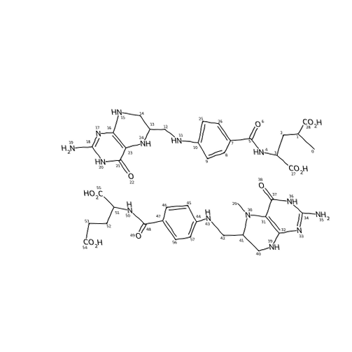 CC(CC(NC(=O)c1ccc(NCC2CNc3nc(N)[nH]c(=O)c3N2)cc1)C(=O)O)C(=O)O.CN1c2c(nc(N)[nH]c2=O)NCC1CNc1ccc(C(=O)NC(CCC(=O)O)C(=O)O)cc1